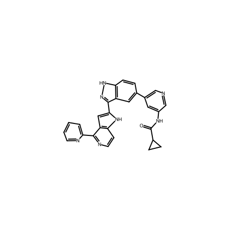 O=C(Nc1cncc(-c2ccc3[nH]nc(-c4cc5c(-c6ccccn6)nccc5[nH]4)c3c2)c1)C1CC1